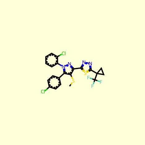 CSc1c(-c2nnc(C3(C(F)(F)F)CC3)s2)nn(-c2ccccc2Cl)c1-c1ccc(Cl)cc1